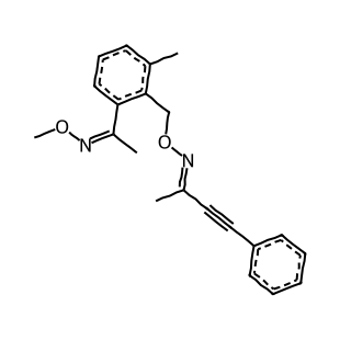 CO/N=C(/C)c1cccc(C)c1CO/N=C(\C)C#Cc1ccccc1